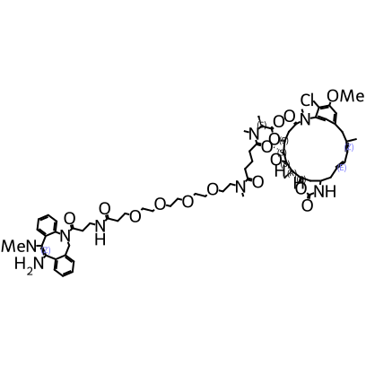 CN/C1=C(\N)c2ccccc2CN(C(=O)CCNC(=O)CCOCCOCCOCCOCCN(C)C(=O)CCCC(=O)N(C)[C@@H](C)C(=O)O[C@H]2CC(=O)N(C)c3cc(cc(OC)c3Cl)C/C(C)=C\C=C\CC3C[C@H](OC(=O)N3)[C@@H](C)[C@@H]3O[C@@]23C)c2ccccc21